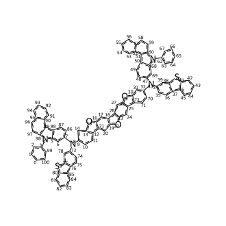 c1ccc(-n2c3cc(N(c4ccc5c(c4)oc4cc6c(cc45)oc4cc5c(cc46)oc4cc(N(c6ccc7c(c6)sc6ccccc67)c6ccc7c8c9ccccc9ccc8n(-c8ccccc8)c7c6)ccc45)c4ccc5c(c4)sc4ccccc45)ccc3c3c4ccccc4ccc32)cc1